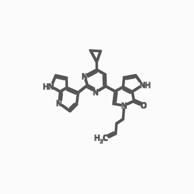 C=CCCn1cc(-c2cc(C3CC3)nc(-c3ccnc4[nH]ccc34)n2)c2cc[nH]c2c1=O